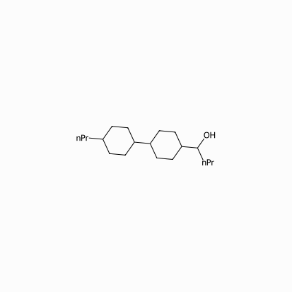 CCCC1CCC(C2CCC(C(O)CCC)CC2)CC1